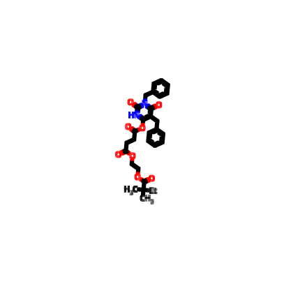 CCC(C)(C)C(=O)OCCOC(=O)CCC(=O)Oc1[nH]c(=O)n(Cc2ccccc2)c(=O)c1Cc1ccccc1